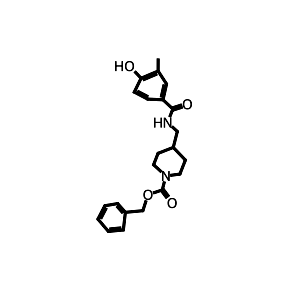 Cc1cc(C(=O)NCC2CCN(C(=O)OCc3ccccc3)CC2)ccc1O